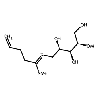 C=CCC/C(=N/C[C@@H](O)[C@H](O)[C@@H](CO)OC)SC